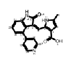 Cc1cc(C(=O)O)c(/C=C2\C(=O)Nc3cccc(-c4ccncc4)c32)[nH]1